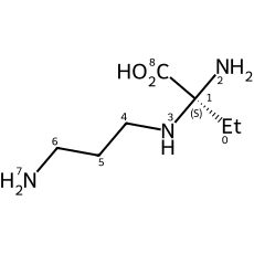 CC[C@](N)(NCCCN)C(=O)O